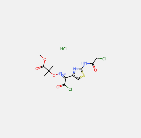 COC(=O)C(C)(C)O/N=C(\C(=O)Cl)c1csc(NC(=O)CCl)n1.Cl